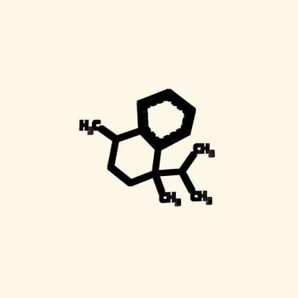 CC1CCC(C)(C(C)C)c2ccccc21